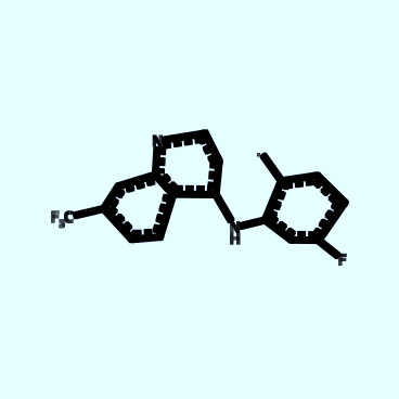 [CH2]c1ccc(F)cc1Nc1ccnc2cc(C(F)(F)F)ccc12